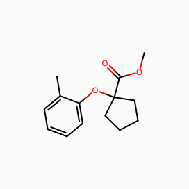 COC(=O)C1(Oc2ccccc2C)CCCC1